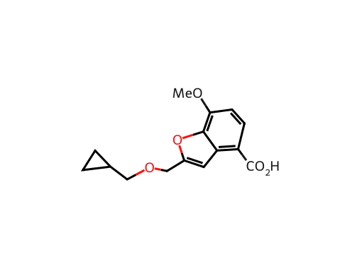 COc1ccc(C(=O)O)c2cc(COCC3CC3)oc12